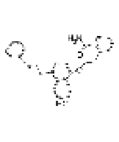 Cl.NC(=O)c1ccccc1CCOc1ccc(C/C=C/c2ccccc2)c2ccccc12